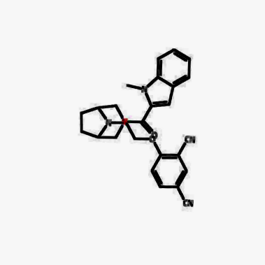 Cn1c(C(=O)N2CC3CCC(C2)N3CCOc2ccc(C#N)cc2C#N)cc2ccccc21